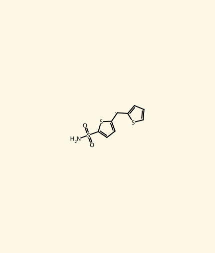 NS(=O)(=O)c1ccc([CH]c2cccs2)s1